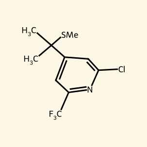 CSC(C)(C)c1cc(Cl)nc(C(F)(F)F)c1